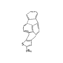 CCCCc1cc2c(s1)-c1ccc3c4c(ccc-2c14)-c1ccccc1-3